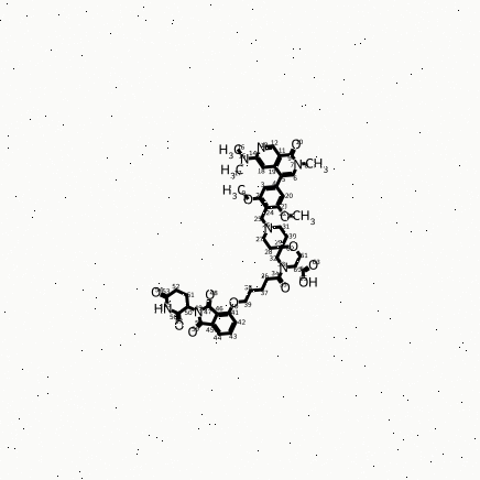 COc1cc(-c2cn(C)c(=O)c3cnc(N(C)C)cc23)cc(OC)c1CN1CCC2(CC1)CN(C(=O)CCCCOc1cccc3c1C(=O)N(C1CCC(=O)NC1=O)C3=O)CCO2.O=CO